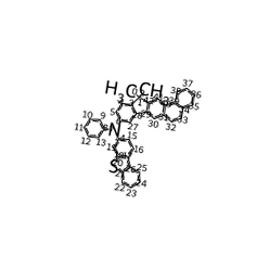 CC1(C)c2ccc(N(c3ccccc3)c3ccc4c(c3)sc3ccccc34)cc2-c2cc3ccc4ccccc4c3cc21